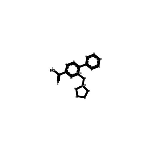 O=C(O)c1ccc(-c2ccccc2)c(CN2CCCC2)c1